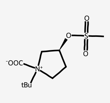 CC(C)(C)[N+]1(C(=O)[O-])CC[C@H](OS(C)(=O)=O)C1